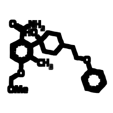 COCOc1ccc(C(N)=O)c(C2(O)CCC(CCOc3ccccc3)CC2)c1C